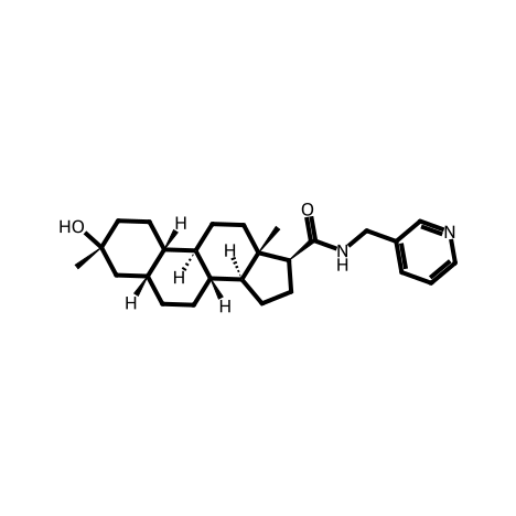 C[C@@]1(O)CC[C@H]2[C@H](CC[C@@H]3[C@@H]2CC[C@]2(C)[C@@H](C(=O)NCc4cccnc4)CC[C@@H]32)C1